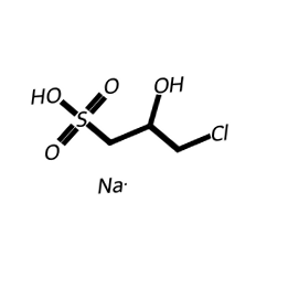 O=S(=O)(O)CC(O)CCl.[Na]